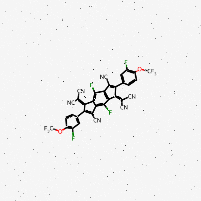 N#CC(C#N)=C1C(c2ccc(OC(F)(F)F)c(F)c2)=C(C#N)c2c(F)c3c(c(F)c21)C(C#N)=C(c1ccc(OC(F)(F)F)c(F)c1)C3=C(C#N)C#N